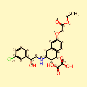 CCOC(=O)COc1ccc2c(c1)CC(NCC(O)c1cccc(Cl)c1)CC2.O=C(O)C(=O)O